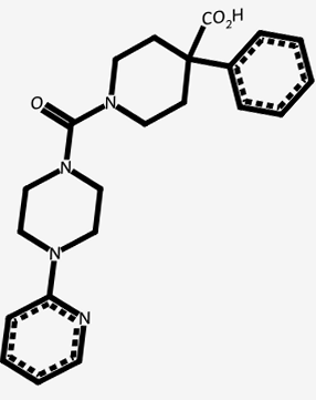 O=C(N1CCN(c2ccccn2)CC1)N1CCC(C(=O)O)(c2ccccc2)CC1